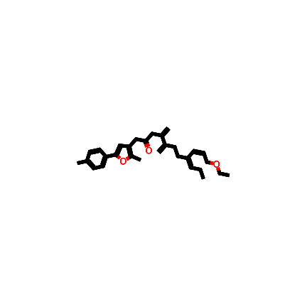 C=C(CCC(/C=C\COCC)=C/CC)C(=C)CC(=O)Cc1cc(-c2ccc(C)cc2)oc1C